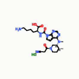 C[C@@H]1CCN(C(=O)CC#N)C[C@@H]1N(C)c1ncnc2c1ccn2C(=O)NC(CCCCN)C(=O)O.Cl